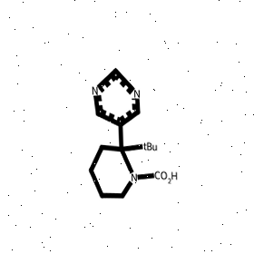 CC(C)(C)C1(c2cncnc2)CCCCN1C(=O)O